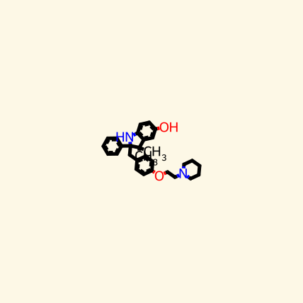 CC1(C)c2cc(O)ccc2NC1(Cc1ccc(OCCN2CCCCC2)cc1)c1ccccc1